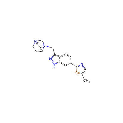 Cc1cnc(-c2ccc3c(CN4CCN5CCC4CC5)n[nH]c3c2)s1